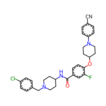 N#Cc1ccc(N2CCC(Oc3ccc(C(=O)NC4CCN(Cc5ccc(Cl)cc5)CC4)cc3F)CC2)cc1